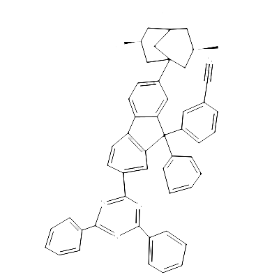 C[C@@H]1C[C@@H]2C[C@H](C)CC(c3ccc4c(c3)C(c3ccccc3)(c3cccc(C#N)c3)c3cc(-c5nc(-c6ccccc6)nc(-c6ccccc6)n5)ccc3-4)(C1)C2